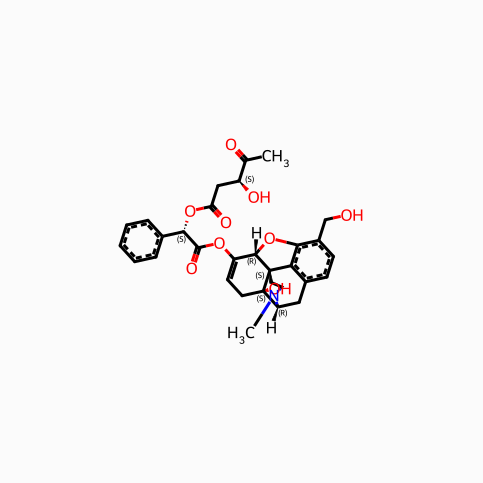 CC(=O)[C@@H](O)CC(=O)O[C@H](C(=O)OC1=CC[C@@]2(O)[C@H]3Cc4ccc(CO)c5c4[C@@]2(CCN3C)[C@H]1O5)c1ccccc1